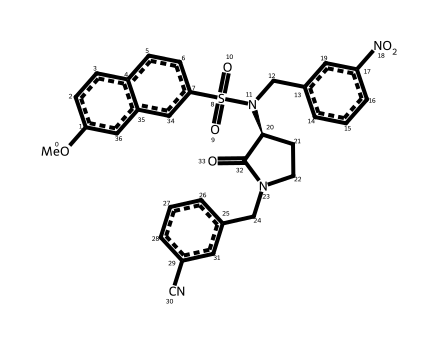 COc1ccc2ccc(S(=O)(=O)N(Cc3cccc([N+](=O)[O-])c3)[C@H]3CCN(Cc4cccc(C#N)c4)C3=O)cc2c1